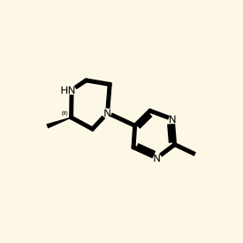 Cc1ncc(N2CCN[C@H](C)C2)cn1